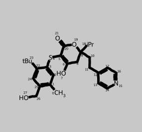 Cc1cc(SC2=C(O)CC(CCc3ccncc3)(C(C)C)OC2=O)c(C(C)(C)C)cc1CO